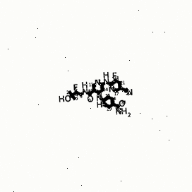 CC(C)(O)C(F)CNC(=O)c1cnc(Nc2ncc(C#N)cc2F)cc1Nc1ccc(C(N)=O)cc1